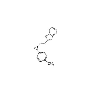 Cc1ccc([C@@H]2C[C@@H]2/C=C/c2cc3ccccc3o2)cc1